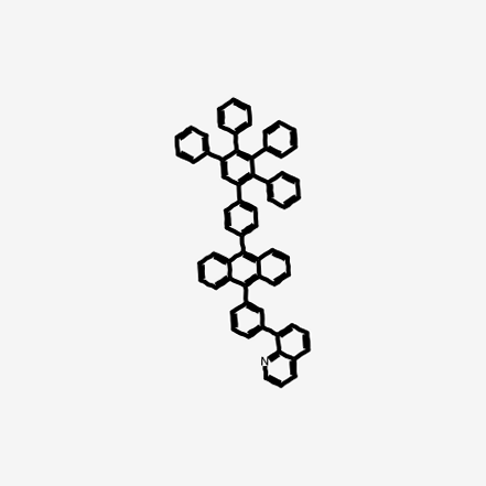 c1ccc(-c2cc(-c3ccc(-c4c5ccccc5c(-c5cccc(-c6cccc7cccnc67)c5)c5ccccc45)cc3)c(-c3ccccc3)c(-c3ccccc3)c2-c2ccccc2)cc1